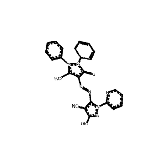 CC(C)(C)c1nn(-c2ccccn2)c(N=Nc2c(O)n(-c3ccccc3)n(C3C=CC=CC3)c2=O)c1C#N